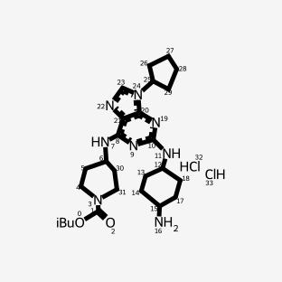 CC(C)COC(=O)N1CCC(Nc2nc(NC3CCC(N)CC3)nc3c2ncn3C2CCCC2)CC1.Cl.Cl